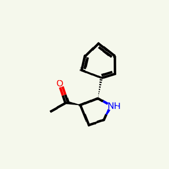 CC(=O)[C@@H]1CCN[C@H]1c1ccccc1